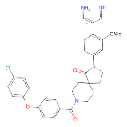 COc1cc(N2CCC3(CCN(C(=O)c4ccc(Oc5ccc(Cl)cc5)cc4)CC3)C2=O)ccc1/C(C=N)=C/N